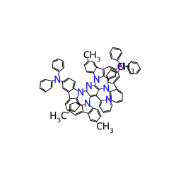 Cc1ccc2c(c1)c1cc(C)ccc1n2-c1nc(-n2c3ccccc3c3cc(N(c4ccccc4)c4ccccc4)ccc32)c(-n2c3ccc(C)cc3c3cc(C)ccc32)c(-c2ccccn2)c1-n1c2ccccc2c2cc(N(c3ccccc3)c3ccccc3)ccc21